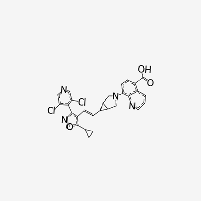 O=C(O)c1ccc(N2CC3C(C=Cc4c(-c5c(Cl)cncc5Cl)noc4C4CC4)C3C2)c2ncccc12